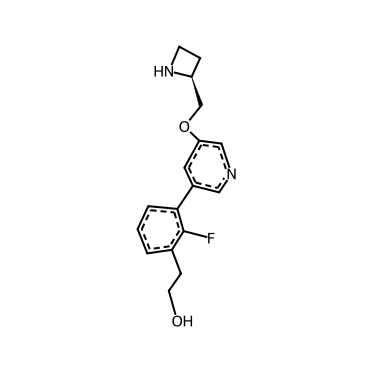 OCCc1cccc(-c2cncc(OC[C@@H]3CCN3)c2)c1F